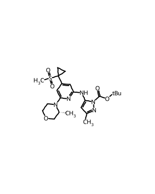 Cc1cc(Nc2cc(C3(S(C)(=O)=O)CC3)cc(N3CCOC[C@H]3C)n2)n(C(=O)OC(C)(C)C)n1